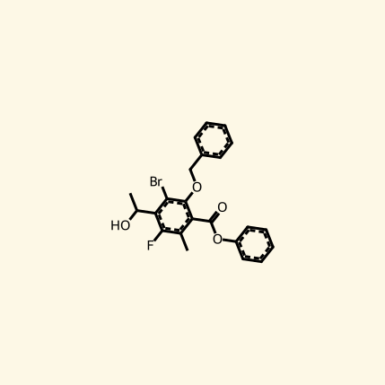 Cc1c(F)c(C(C)O)c(Br)c(OCc2ccccc2)c1C(=O)Oc1ccccc1